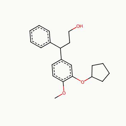 COc1ccc(C(CCO)c2ccccc2)cc1OC1CCCC1